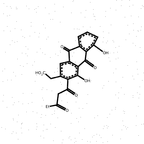 CCC(=O)CC(=O)c1c(CC(=O)O)cc2c(c1O)C(=O)c1c(O)cccc1C2=O